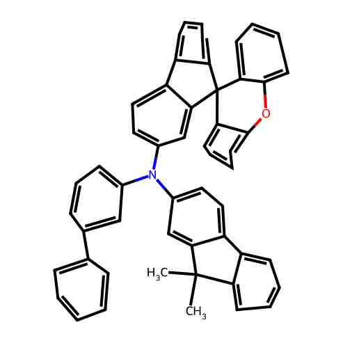 CC1(C)c2ccccc2-c2ccc(N(c3cccc(-c4ccccc4)c3)c3ccc4c(c3)C3(c5ccccc5Oc5ccccc53)c3ccccc3-4)cc21